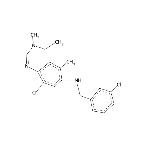 CCN(C)/C=N\c1cc(C)c(NCc2cccc(Cl)c2)cc1Cl